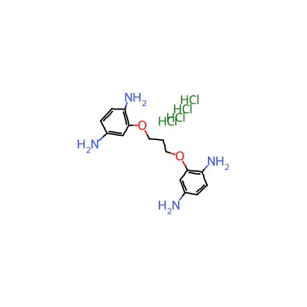 Cl.Cl.Cl.Cl.Nc1ccc(N)c(OCCCOc2cc(N)ccc2N)c1